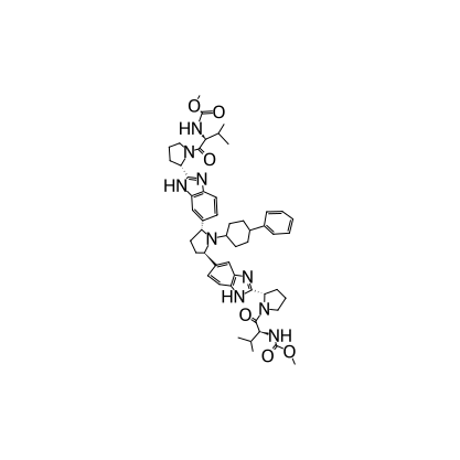 COC(=O)N[C@H](C(=O)N1CCC[C@H]1c1nc2cc([C@H]3CC[C@H](c4ccc5nc([C@@H]6CCCN6C(=O)[C@@H](NC(=O)OC)C(C)C)[nH]c5c4)N3C3CCC(c4ccccc4)CC3)ccc2[nH]1)C(C)C